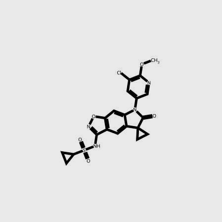 COc1ncc(N2C(=O)C3(CC3)c3cc4c(NS(=O)(=O)C5CC5)noc4cc32)cc1Cl